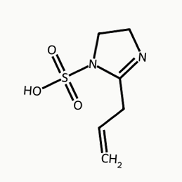 C=CCC1=NCCN1S(=O)(=O)O